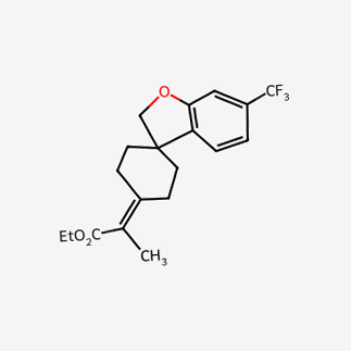 CCOC(=O)C(C)=C1CCC2(CC1)COc1cc(C(F)(F)F)ccc12